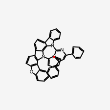 c1ccc(-c2cc(-c3ccccc3)nc(-n3c4ccccc4c4ccc5c6ccc7oc8ccccc8c7c6n(-c6ccccc6)c5c43)n2)cc1